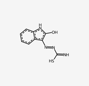 N=C(S)/N=N/c1c(O)[nH]c2ccccc12